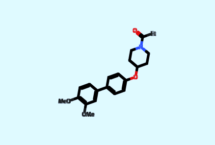 CCC(=O)N1CCC(Oc2ccc(-c3ccc(OC)c(OC)c3)cc2)CC1